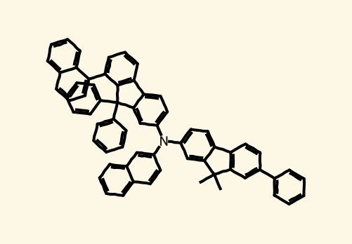 CC1(C)c2cc(-c3ccccc3)ccc2-c2ccc(N(c3ccc4c(c3)C(c3ccccc3)(c3ccccc3)c3c-4cccc3-c3cccc4ccccc34)c3ccc4ccccc4c3)cc21